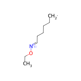 [CH2]CCCC/C=N/OCC